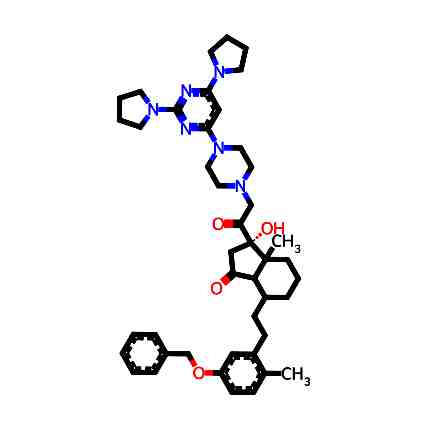 Cc1ccc(OCc2ccccc2)cc1CCC1CCCC2(C)C1C(=O)C[C@@]2(O)C(=O)CN1CCN(c2cc(N3CCCC3)nc(N3CCCC3)n2)CC1